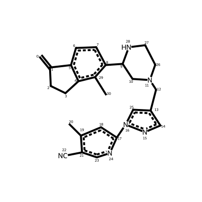 C=C1CCc2c1ccc(C1CN(Cc3cnn(-c4cc(C)c(C#N)cn4)c3)CCN1)c2C